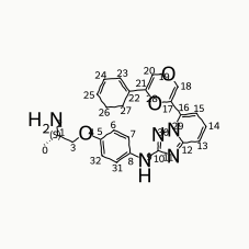 C[C@H](N)COc1ccc(Nc2nc3cccc(C4=COC=C(C5=CC=CCC5)O4)n3n2)cc1